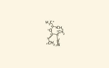 C=C(C#N)/C(=C\C)OC(C)C